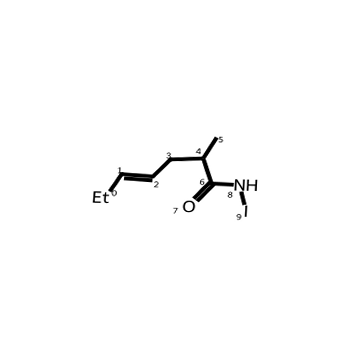 CC/C=C/CC(C)C(=O)NI